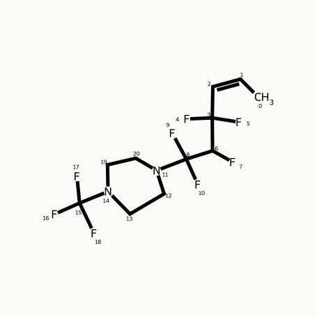 C/C=C\C(F)(F)C(F)C(F)(F)N1CCN(C(F)(F)F)CC1